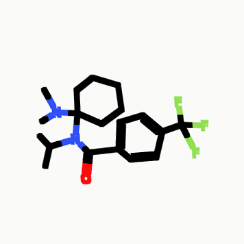 CC(C)N(C(=O)c1ccc(C(F)(F)F)cc1)C1(N(C)C)CCCCC1